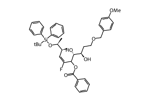 COc1ccc(COCC[C@@H](O)[C@@H](O)C(OC(=O)c2ccccc2)/C(F)=C\[C@H](C)[C@H](C)O[Si](c2ccccc2)(c2ccccc2)C(C)(C)C)cc1